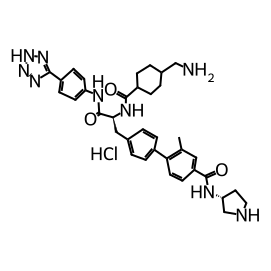 Cc1cc(C(=O)N[C@@H]2CCNC2)ccc1-c1ccc(C[C@H](NC(=O)C2CCC(CN)CC2)C(=O)Nc2ccc(-c3nn[nH]n3)cc2)cc1.Cl